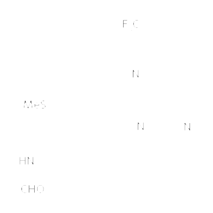 CSc1cc(-n2cnc3ccc(C(F)(F)F)nc32)ccc1NC=O